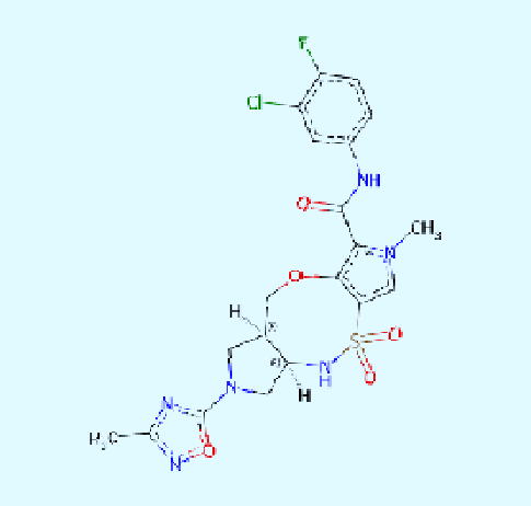 Cc1noc(N2C[C@H]3COc4c(cn(C)c4C(=O)Nc4ccc(F)c(Cl)c4)S(=O)(=O)N[C@H]3C2)n1